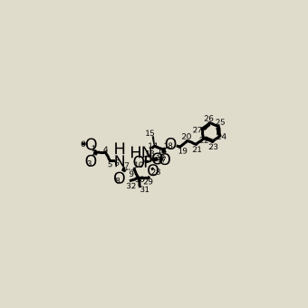 COC(=O)CCNC(=O)[C@@H]1O[P@](=O)(N[C@@H](C)C(=O)OCCCc2ccccc2)OCC1(C)C